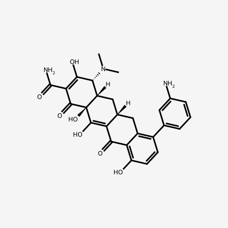 CN(C)[C@H]1C(O)=C(C(N)=O)C(=O)[C@@]2(O)C(O)=C3C(=O)c4c(O)ccc(-c5cccc(N)c5)c4C[C@H]3C[C@@H]12